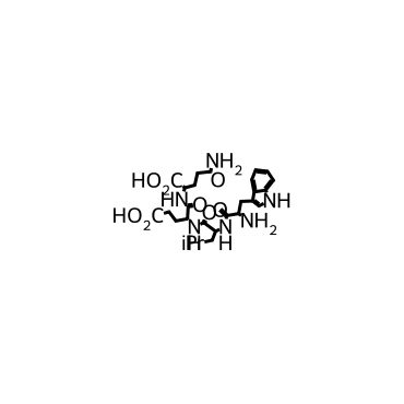 CC(C)CC(NC(=O)C(N)Cc1c[nH]c2ccccc12)C(=O)NC(CCC(=O)O)C(=O)NC(CCC(N)=O)C(=O)O